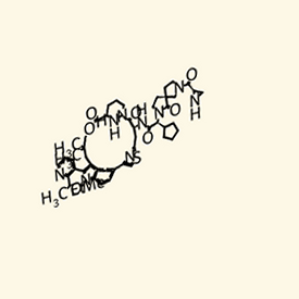 CCn1c(-c2cccnc2[C@H](C)OC)c2c3cc(ccc31)-c1csc(n1)C[C@H](NC(=O)[C@H](C1CCCC1)N1CC[C@]3(CCN(C(=O)[C@H]4CN4)C3)C1=O)C(=O)N1CCC[C@H](N1)C(=O)OCC(C)(C)C2